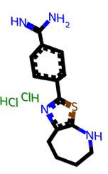 Cl.Cl.N=C(N)c1ccc(-c2nc3c(s2)NCCCC3)cc1